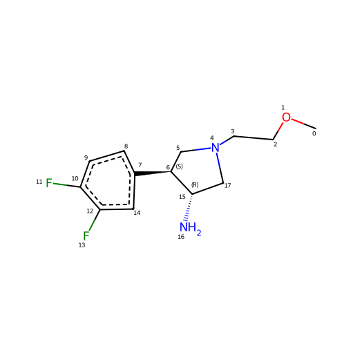 COCCN1C[C@H](c2ccc(F)c(F)c2)[C@@H](N)C1